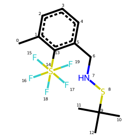 Cc1cccc(CNSC(C)(C)C)c1S(F)(F)(F)(F)F